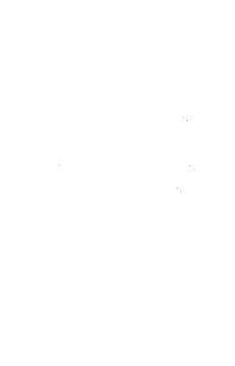 Cn1nc(N)c2ccc(-c3c(O)cccc3F)cc21